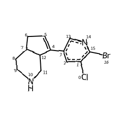 Clc1cc(C2=CCC3CCNCC23)cnc1Br